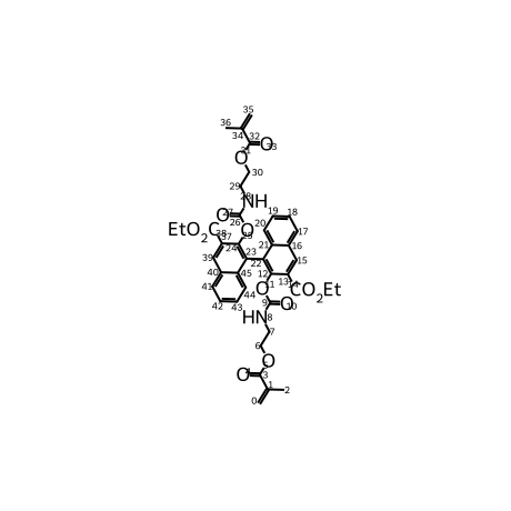 C=C(C)C(=O)OCCNC(=O)Oc1c(C(=O)OCC)cc2ccccc2c1-c1c(OC(=O)NCCOC(=O)C(=C)C)c(C(=O)OCC)cc2ccccc12